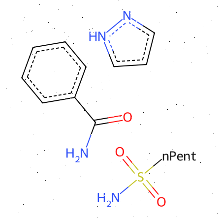 CCCCCS(N)(=O)=O.NC(=O)c1ccccc1.c1cn[nH]c1